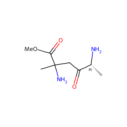 COC(=O)C(C)(N)CC(=O)[C@@H](C)N